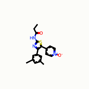 CCC(=O)Nc1nc(-c2cc(C)cc(C)c2)c(-c2cc[n+]([O-])cc2)s1